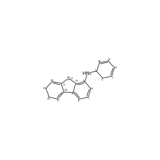 C1=CCC(Nc2cccc3c4c(sc23)=CCCC=4)C=C1